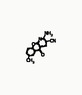 Cc1ccc2oc3nc(N)c(C#N)cc3c(=O)c2c1